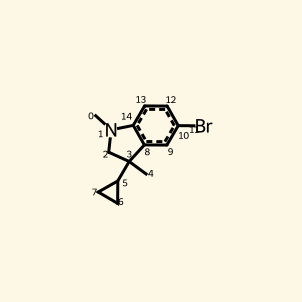 CN1CC(C)(C2CC2)c2cc(Br)ccc21